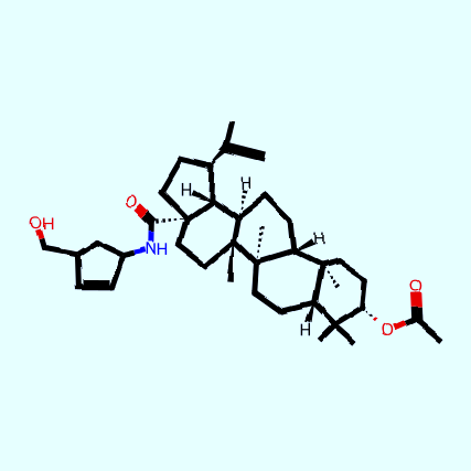 C=C(C)[C@@H]1CC[C@]2(C(=O)NC3C=CC(CO)C3)CC[C@]3(C)[C@H](CC[C@@H]4[C@@]5(C)CC[C@H](OC(C)=O)C(C)(C)[C@@H]5CC[C@]43C)[C@@H]12